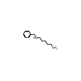 [SiH3]CCCCCNCc1ccccc1